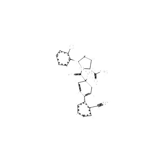 COC1(C(=O)N2[C@@H](c3ccccc3Cl)CC[C@H]2C(=O)O)C=CC(c2ccccc2C#N)=CC1